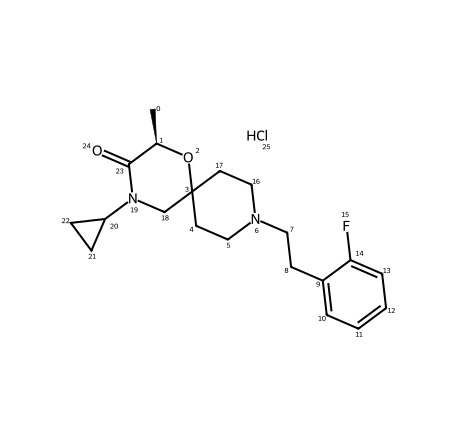 C[C@H]1OC2(CCN(CCc3ccccc3F)CC2)CN(C2CC2)C1=O.Cl